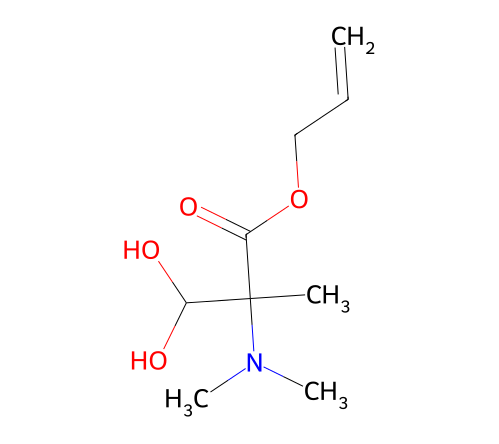 C=CCOC(=O)C(C)(C(O)O)N(C)C